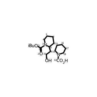 CC(C)COC(=O)N1CCCCC1CCO.O=C(O)N1CCCCC1